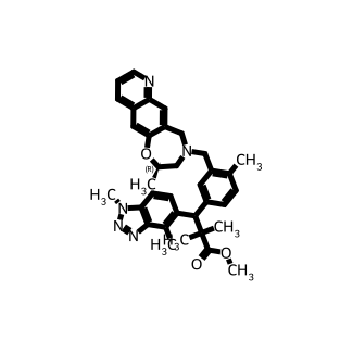 COC(=O)C(C)(C)C(c1ccc(C)c(CN2Cc3cc4ncccc4cc3O[C@H](C)C2)c1)c1ccc2c(nnn2C)c1C